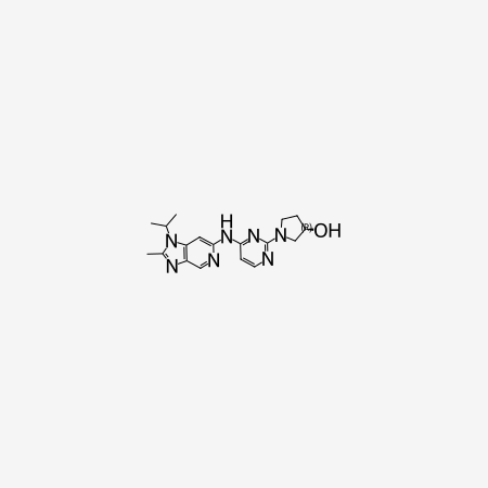 Cc1nc2cnc(Nc3ccnc(N4CC[C@@H](O)C4)n3)cc2n1C(C)C